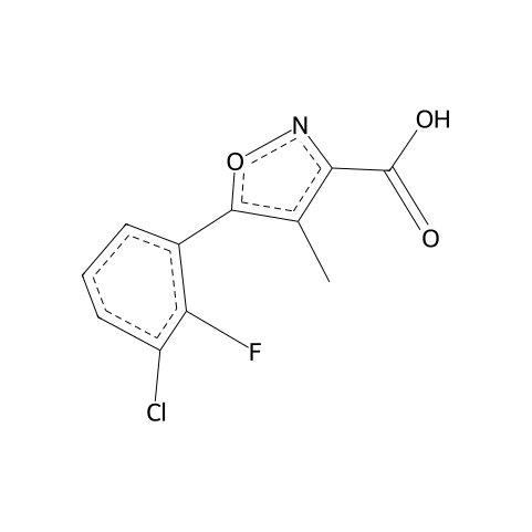 Cc1c(C(=O)O)noc1-c1cccc(Cl)c1F